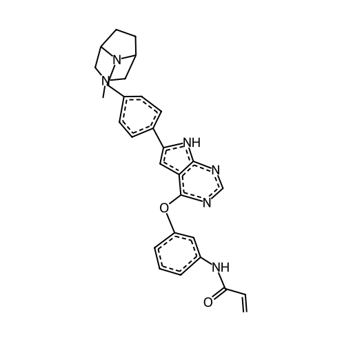 C=CC(=O)Nc1cccc(Oc2ncnc3[nH]c(-c4ccc(CN5C6CCC5CN(C)C6)cc4)cc23)c1